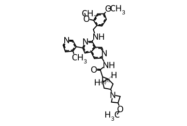 COc1ccc(CNc2nc(-c3cnccc3C)cc3cc(NC(=O)C4[C@H]5CC(N6CC(OC)C6)C[C@@H]45)ncc23)c(OC)c1